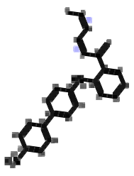 C=C(/C=C\C=C/C)c1ccccc1Nc1ccc(-c2ccc(N)cc2)cc1